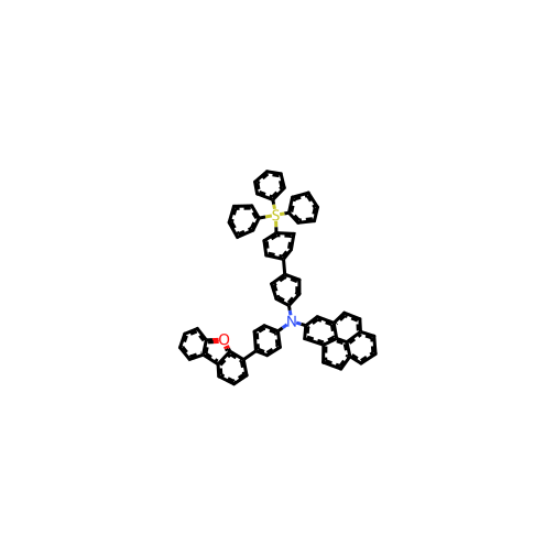 c1ccc(S(c2ccccc2)(c2ccccc2)c2ccc(-c3ccc(N(c4ccc(-c5cccc6c5oc5ccccc56)cc4)c4cc5ccc6cccc7ccc(c4)c5c67)cc3)cc2)cc1